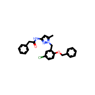 Cc1cc(NC(=O)Cc2ccccc2)nn1Cc1cc(Cl)ccc1OCc1ccccc1